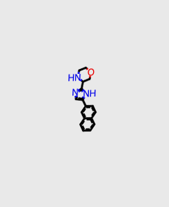 c1ccc2cc(-c3cnc(C4COCCN4)[nH]3)ccc2c1